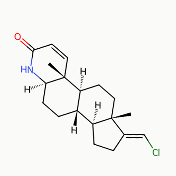 C[C@]12C=CC(=O)N[C@@H]1CC[C@@H]1[C@@H]2CC[C@]2(C)/C(=C/Cl)CC[C@@H]12